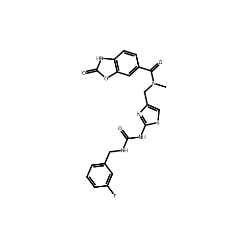 CN(Cc1csc(NC(=O)NCc2cccc(F)c2)n1)C(=O)c1ccc2[nH]c(=O)oc2c1